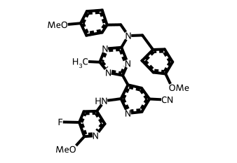 COc1ccc(CN(Cc2ccc(OC)cc2)c2nc(C)nc(-c3cc(C#N)cnc3Nc3cnc(OC)c(F)c3)n2)cc1